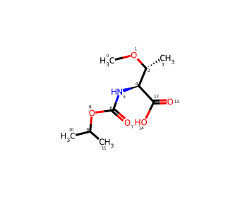 CO[C@H](C)[C@H](NC(=O)OC(C)C)C(=O)O